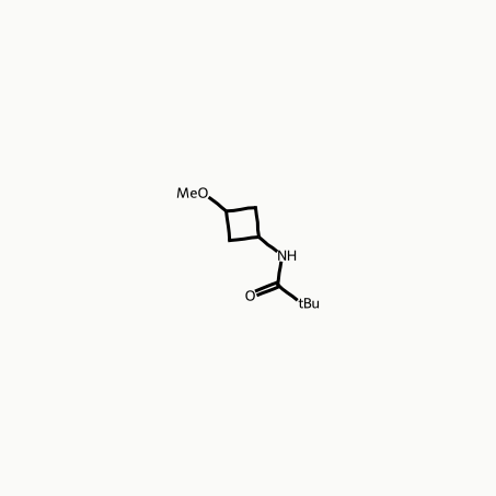 COC1CC(NC(=O)C(C)(C)C)C1